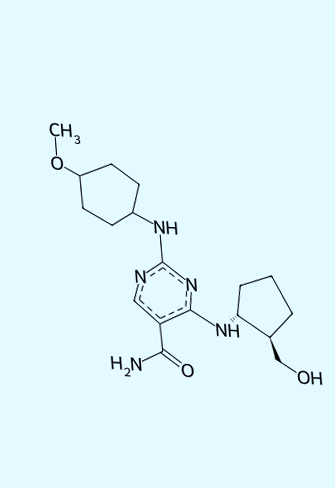 COC1CCC(Nc2ncc(C(N)=O)c(N[C@@H]3CCC[C@H]3CO)n2)CC1